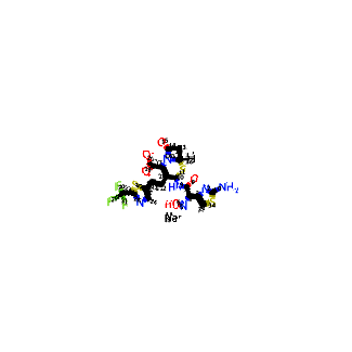 Nc1nc(C(=NO)C(=O)NC2S[C@H]3CC(=O)N3C(C(=O)[O-])=C2C=Cc2cnc(C(F)(F)F)s2)cs1.[Na+]